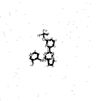 Fc1cnccc1Nc1nc(-c2cccc(OC(F)(F)F)n2)nn2cccc12